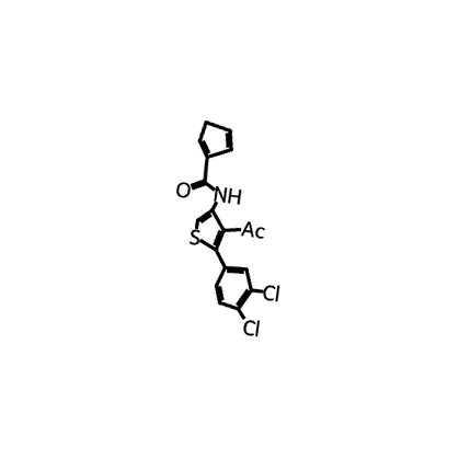 CC(=O)c1c(NC(=O)C2=CCC=C2)csc1-c1ccc(Cl)c(Cl)c1